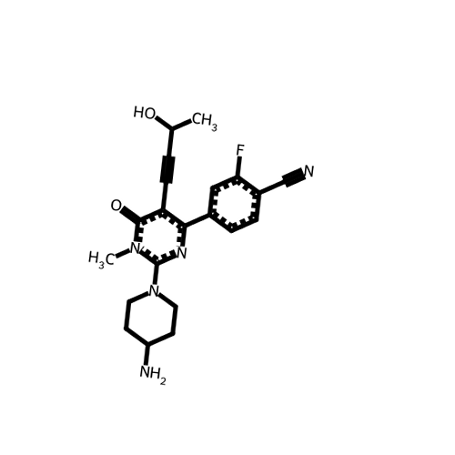 CC(O)C#Cc1c(-c2ccc(C#N)c(F)c2)nc(N2CCC(N)CC2)n(C)c1=O